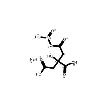 O=C(O)CC(O)(CC(=O)OS(=O)O)C(=O)O.[NaH]